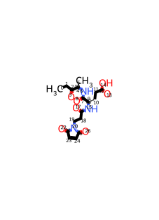 CCC(=O)[C@H](C)NC(=O)[C@H](CCC(=O)O)NC(=O)CCN1C(=O)C=CC1=O